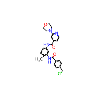 Cc1ccc(NC(=O)c2ccnc(N3CCOCC3)c2)cc1NC(=O)c1ccc(CCl)cc1